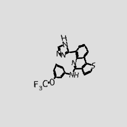 FC(F)(F)Oc1cccc(Nc2nc3c(-c4nnc[nH]4)cccc3c3sccc23)c1